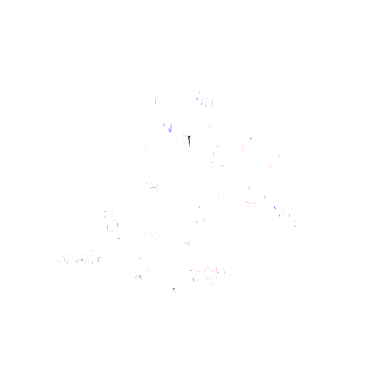 C=C1C2=C(O)C(C)(C(=O)CC(N)=O)[C@H](C(CN)N(C)C)C[C@@H]2Cc2c(C(=O)CCCCC)ccc(O)c21